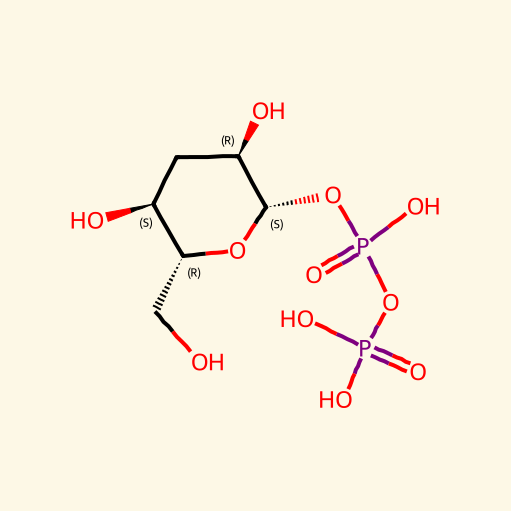 O=P(O)(O)OP(=O)(O)O[C@@H]1O[C@H](CO)[C@@H](O)C[C@H]1O